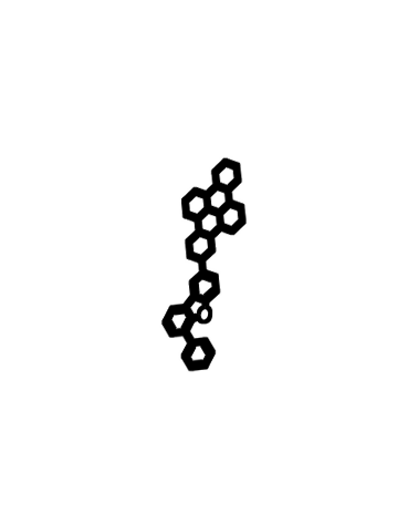 c1ccc(-c2cccc3c2oc2ccc(C4CCC5C(C4)C4CCCC6C7CCCCC7C7CCCC5C7C64)cc23)cc1